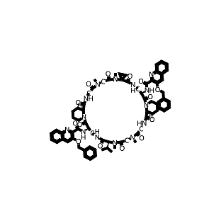 CC(C)[C@H]1C(=O)NC[C@@H](NC(=O)c2nc3ccccc3cc2OCc2ccccc2)C(=O)N2CCCC[C@H]2C(=O)NCC(=O)N(C)CC(=O)N(C)C2(CC2)C(=O)NC[C@@H](NC(=O)c2nc3ccccc3cc2OCc2ccccc2)C(=O)N2CCCC[C@H]2C(=O)NCC(=O)N(C)CC(=O)N1C